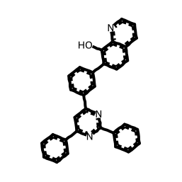 Oc1c(-c2cccc(-c3cc(-c4ccccc4)nc(-c4ccccc4)n3)c2)ccc2cccnc12